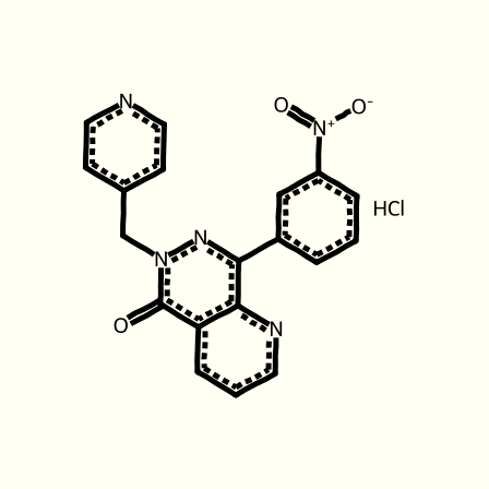 Cl.O=c1c2cccnc2c(-c2cccc([N+](=O)[O-])c2)nn1Cc1ccncc1